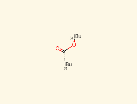 C[CH][C@H](C)OC(=O)[C@@H](C)CC